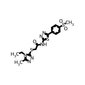 CCn1c(C)nnc1SCC(=O)Nc1nnc(-c2ccc(S(C)(=O)=O)cc2)s1